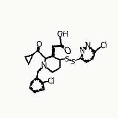 O=C(O)/C=C1\C(SSc2ccc(Cl)nn2)CCN(Cc2ccccc2Cl)C1C(=O)C1CC1